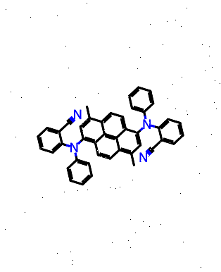 Cc1cc(N(c2ccccc2)c2ccccc2C#N)c2ccc3c(C)cc(N(c4ccccc4)c4ccccc4C#N)c4ccc1c2c34